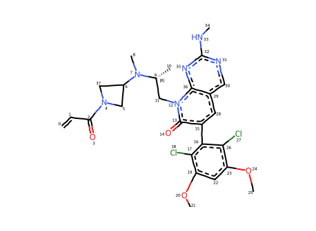 C=CC(=O)N1CC(N(C)[C@H](C)Cn2c(=O)c(-c3c(Cl)c(OC)cc(OC)c3Cl)cc3cnc(NC)nc32)C1